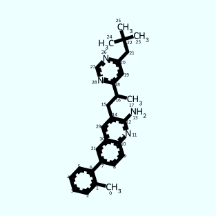 Cc1ccccc1-c1ccc2nc(N)c(CC(C)c3cc(CC(C)(C)C)ncn3)cc2c1